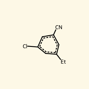 [CH2]Cc1cc(Cl)cc(C#N)c1